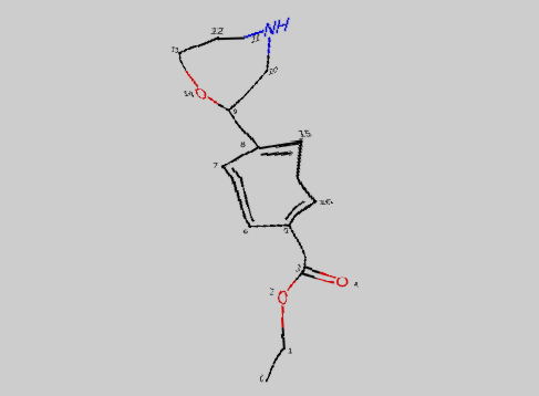 CCOC(=O)c1ccc(C2CNCCO2)cc1